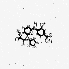 COc1cc(C(=O)O)ccc1Nc1ccc2c(n1)N(C1CCCC1)[C@@H](C)C(=O)N2C